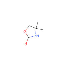 CC1(C)COC([O])N1